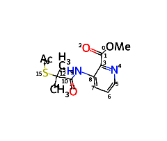 COC(=O)c1ncccc1NC(=O)C(C)(C)SC(C)=O